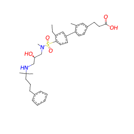 CCc1cc(-c2ccc(CCC(=O)O)cc2C)ccc1S(=O)(=O)N(C)C[C@H](O)CNC(C)(C)CCCc1ccccc1